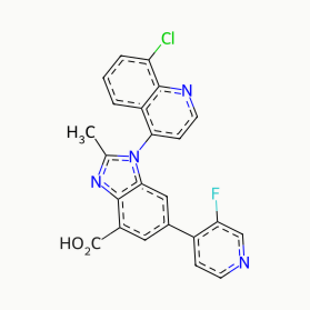 Cc1nc2c(C(=O)O)cc(-c3ccncc3F)cc2n1-c1ccnc2c(Cl)cccc12